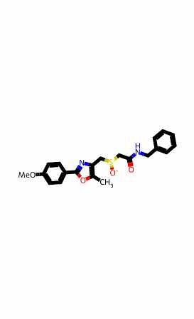 COc1ccc(-c2nc(C[S+]([O-])CC(=O)NCc3ccccc3)c(C)o2)cc1